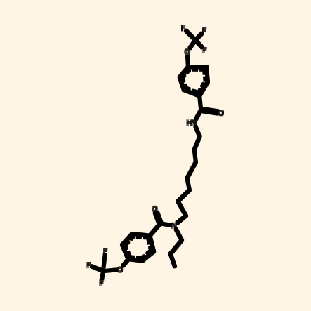 CCCN(CCCCCCCNC(=O)c1ccc(OC(F)(F)F)cc1)C(=O)c1ccc(OC(F)(F)F)cc1